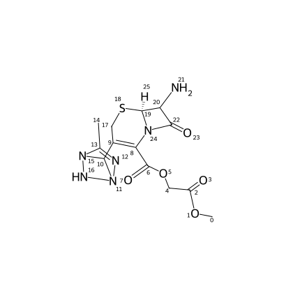 COC(=O)COC(=O)C1=C(C2N3N=C(C)N2N3)CS[C@H]2C(N)C(=O)N12